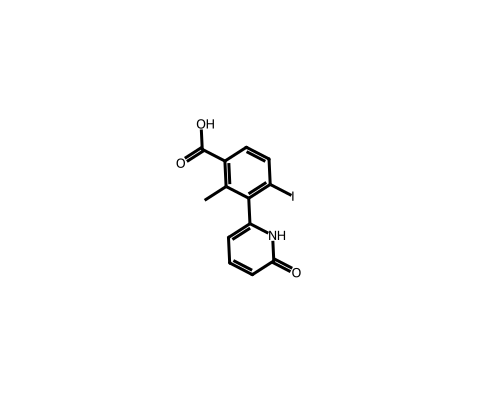 Cc1c(C(=O)O)ccc(I)c1-c1cccc(=O)[nH]1